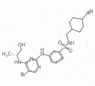 C[C@H](CO)Nc1nc(Nc2cccc(S(=O)(=O)NCC3CCC(C#N)CC3)c2)ncc1Br